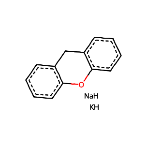 [KH].[NaH].c1ccc2c(c1)Cc1ccccc1O2